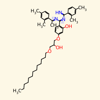 CCCCCCCCCCCCCOCC(O)COc1ccc(C(=N/C(=N)c2ccc(C)cc2C)/N=C(\C)c2ccc(C)cc2C)c(O)c1